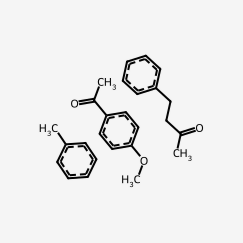 CC(=O)CCc1ccccc1.COc1ccc(C(C)=O)cc1.Cc1ccccc1